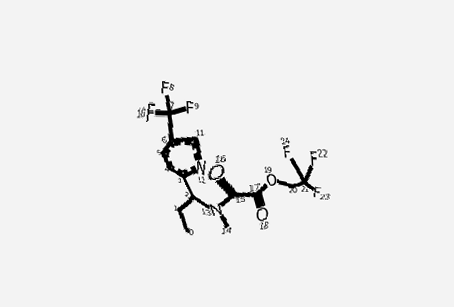 CCC(c1ccc(C(F)(F)F)cn1)N(C)C(=O)C(=O)OCC(F)(F)F